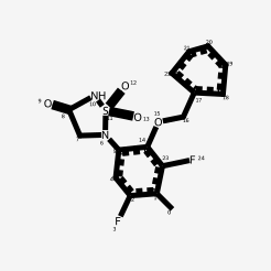 Cc1c(F)cc(N2CC(=O)NS2(=O)=O)c(OCc2ccccc2)c1F